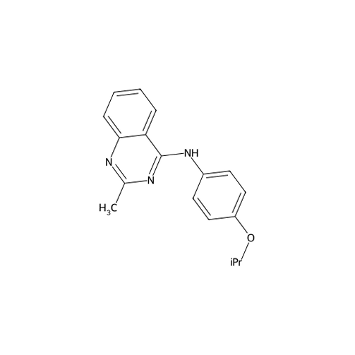 Cc1nc(Nc2ccc(OC(C)C)cc2)c2ccccc2n1